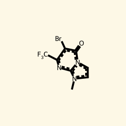 Cn1ccn2c(=O)c(Br)c(C(F)(F)F)nc12